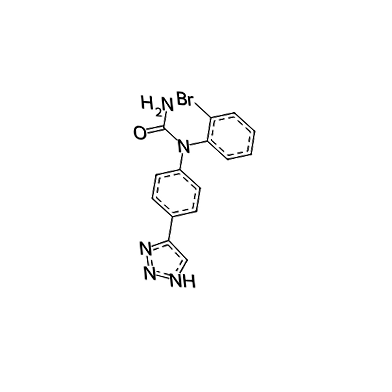 NC(=O)N(c1ccc(-c2c[nH]nn2)cc1)c1ccccc1Br